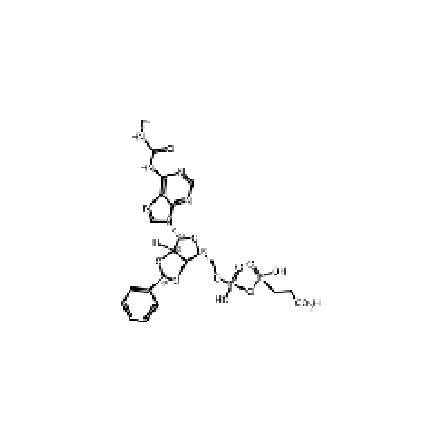 CCNC(=O)Nc1ncnc2c1ncn2[C@@H]1O[C@H](COP(=O)(O)OP(=O)(O)CCC(=O)O)C2O[C@@H](c3ccccc3)O[C@@H]21